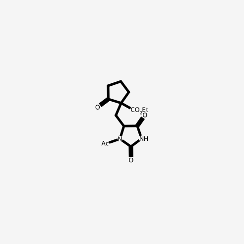 CCOC(=O)C1(CC2C(=O)NC(=O)N2C(C)=O)CCCC1=O